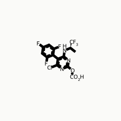 C[C@H](Nc1nc(OC(=O)O)nc(Cl)c1-c1c(F)cc(F)cc1F)C(F)(F)F